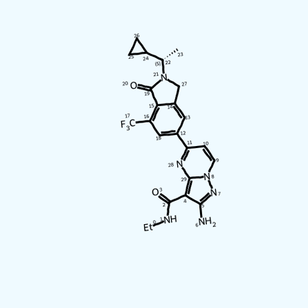 CCNC(=O)c1c(N)nn2ccc(-c3cc4c(c(C(F)(F)F)c3)C(=O)N([C@@H](C)C3CC3)C4)nc12